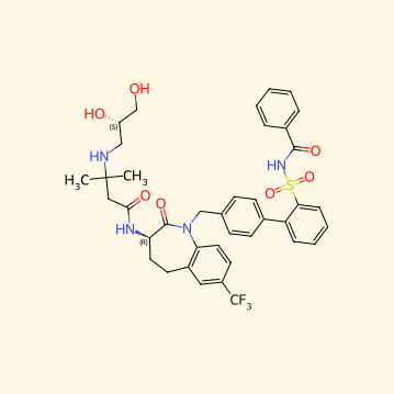 CC(C)(CC(=O)N[C@@H]1CCc2cc(C(F)(F)F)ccc2N(Cc2ccc(-c3ccccc3S(=O)(=O)NC(=O)c3ccccc3)cc2)C1=O)NC[C@H](O)CO